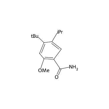 COc1cc(C(C)(C)C)c(C(C)C)cc1C(N)=O